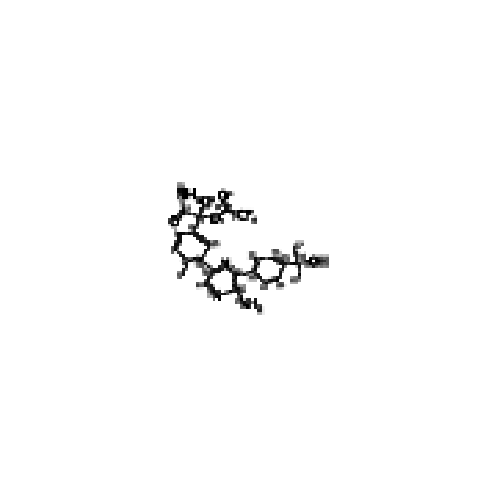 Cc1ccc(C(OC(=O)C(F)(F)F)(C(N)=O)C(F)(F)F)cc1-c1cnc(N)c(-c2ccc(C(C)(C)O)cc2)n1